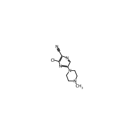 CN1CCN(c2cnc(C#N)c(Cl)n2)CC1